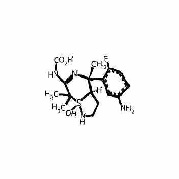 CC1(C)C(NC(=O)O)=N[C@](C)(c2cc(N)ccc2F)[C@H]2CCNS21O